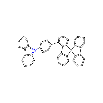 c1ccc2c(c1)-c1ccccc1C21c2ccccc2-c2c(-c3ccc(-n4c5ccccc5c5ccccc54)cc3)cccc21